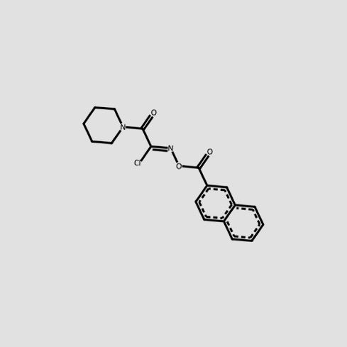 O=C(ON=C(Cl)C(=O)N1CCCCC1)c1ccc2ccccc2c1